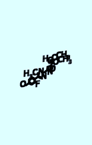 Cc1nc(-c2cc(C(=O)OC(C)(C)C)on2)ncc1-c1ccc(C=O)cc1F